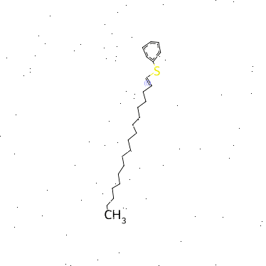 CCCCCCCCCCCCCCCC/C=C/Sc1ccccc1